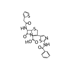 O=C(Cc1cccs1)NC1C(=O)N2C(C(=O)O)=C(c3cnc(NC(=O)c4ccccc4)s3)CSC12